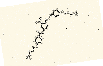 O=C(Oc1ccc(OCOc2ccc(OCOCC3CO3)cc2)c([N+](=O)[O-])c1)c1ccc(OCOCC2CO2)cc1